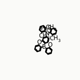 Cc1cccc(C)c1N(c1cc2c3c(c1)Oc1ccccc1B3c1ccccc1O2)c1c(C)cccc1C